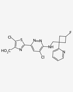 O=C(O)c1nc(-c2cc(Cl)c(NCC3(c4ccccn4)CC(F)C3)nn2)sc1Cl